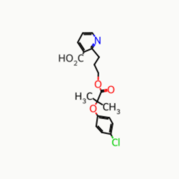 CC(C)(Oc1ccc(Cl)cc1)C(=O)OCCCc1ncccc1C(=O)O